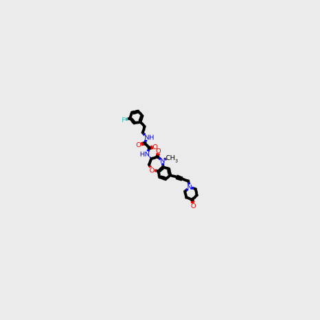 CN1C(=O)[C@@H](NC(=O)C(=O)NCCc2cccc(F)c2)COc2ccc(C#CCN3CCC(=O)CC3)cc21